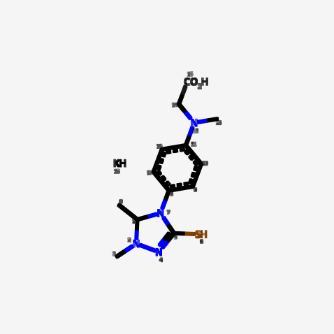 CC1N(C)N=C(S)N1c1ccc(N(C)CC(=O)O)cc1.[KH]